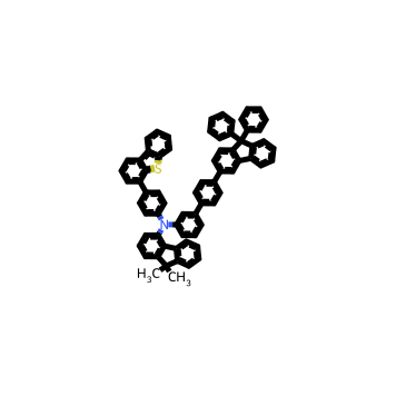 CC1(C)c2ccccc2-c2c(N(c3ccc(-c4cccc5c4sc4ccccc45)cc3)c3cccc(-c4ccc(-c5ccc6c(c5)-c5ccccc5C6(c5ccccc5)c5ccccc5)cc4)c3)cccc21